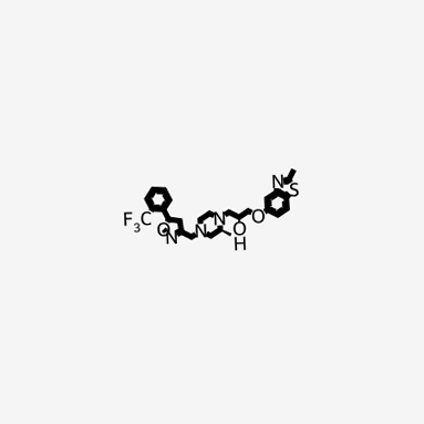 Cc1nc2cc(OC[C@H](O)CN3CCN(CC4=NOC(c5ccccc5C(F)(F)F)C4)C[C@@H]3C)ccc2s1